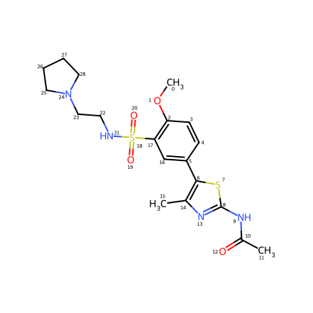 COc1ccc(-c2sc(NC(C)=O)nc2C)cc1S(=O)(=O)NCCN1CCCC1